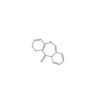 O=C1C2=C(C=CCC2)SC=C2C=CC=CC12